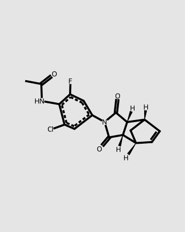 CC(=O)Nc1c(F)cc(N2C(=O)[C@@H]3[C@H](C2=O)[C@@H]2C=C[C@H]3C2)cc1Cl